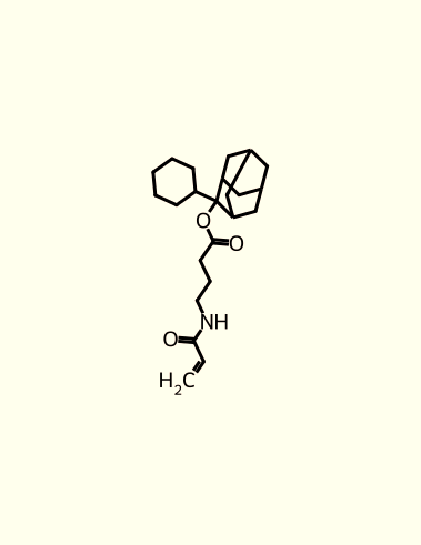 C=CC(=O)NCCCC(=O)OC1(C2CCCCC2)C2CC3CC(C2)CC1C3